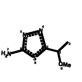 COC(C)c1nnc(N)s1